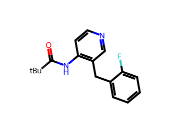 CC(C)(C)C(=O)Nc1ccncc1Cc1ccccc1F